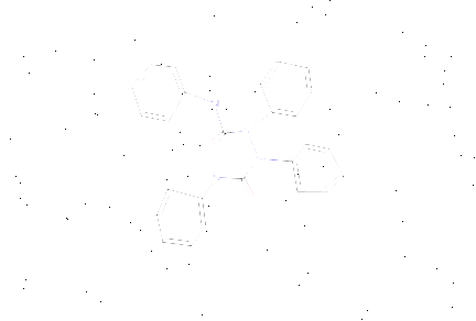 Cc1ccc([N]C(=O)N(c2ccccc2)N(C(=O)Nc2ccccc2)c2ccccc2)cc1